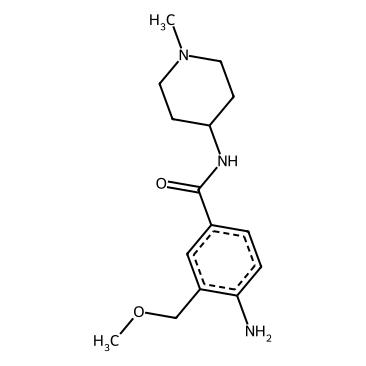 COCc1cc(C(=O)NC2CCN(C)CC2)ccc1N